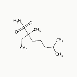 CCC(C)(CCCC(C)C)S(N)(=O)=O